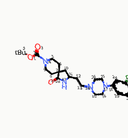 CC(C)(C)OC(=O)N1CCC2(CC1)CC(CCN1CCN(c3cccc(Cl)c3)CC1)NC2=O